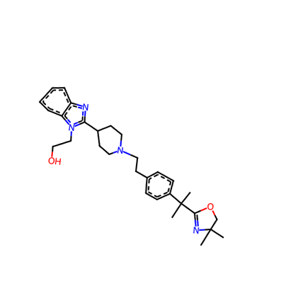 CC1(C)COC(C(C)(C)c2ccc(CCN3CCC(c4nc5ccccc5n4CCO)CC3)cc2)=N1